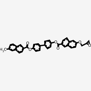 Cc1ccc2cc(C(=O)Oc3ccc(-c4ccc(OC(=O)c5ccc6cc(OCC7CO7)ccc6c5)cc4)cc3)ccc2c1